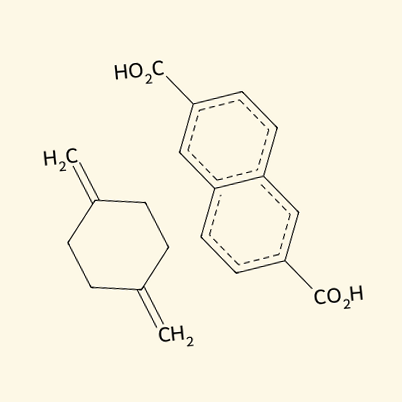 C=C1CCC(=C)CC1.O=C(O)c1ccc2cc(C(=O)O)ccc2c1